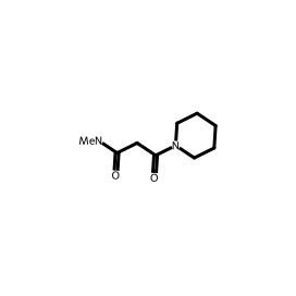 CNC(=O)CC(=O)N1CCCCC1